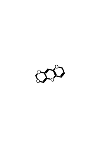 C1=CC2=C(C=C3OCOC=C3O2)OC1